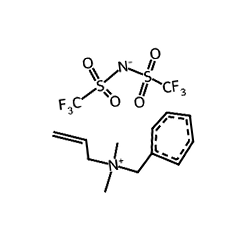 C=CC[N+](C)(C)Cc1ccccc1.O=S(=O)([N-]S(=O)(=O)C(F)(F)F)C(F)(F)F